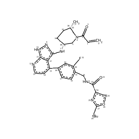 C=CC(=O)N1C[C@H](Nc2n[nH]c3nccc(-c4ccc(CNC(=O)c5noc(C(C)(C)C)n5)c(F)c4)c23)CC[C@@H]1C